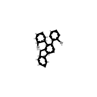 Brc1ccccc1-c1ccc2c(c1-c1ccccc1Br)Cc1ccccc1-2